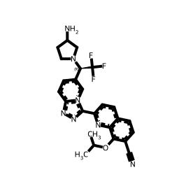 CC(C)Oc1c(C#N)ccc2ccc(-c3nnc4ccc([C@@H](N5CCC(N)C5)C(F)(F)F)cn34)nc12